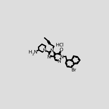 CC#CCn1c(N2CCCC(N)C2)nc2cnn(Cc3ccc(Br)c4ccccc34)c(=O)c21.Cl